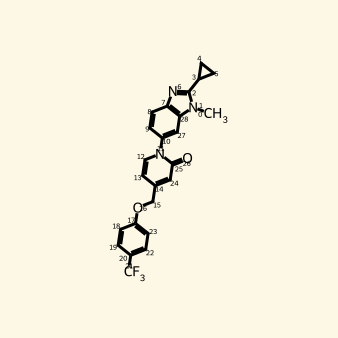 Cn1c(C2CC2)nc2ccc(-n3ccc(COc4ccc(C(F)(F)F)cc4)cc3=O)cc21